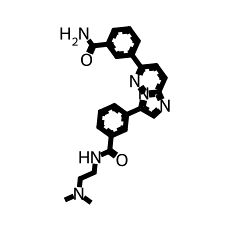 CN(C)CCNC(=O)c1cccc(-c2cnc3ccc(-c4cccc(C(N)=O)c4)nn23)c1